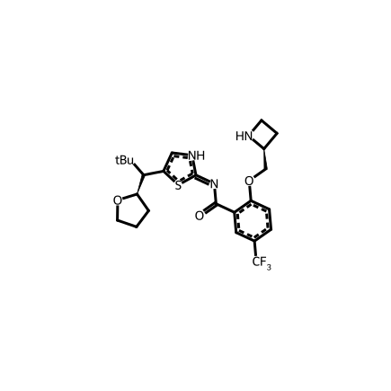 CC(C)(C)C(c1c[nH]c(=NC(=O)c2cc(C(F)(F)F)ccc2OC[C@@H]2CCN2)s1)[C@H]1CCCO1